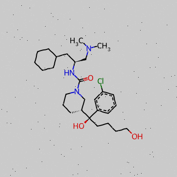 CN(C)C[C@H](CC1CCCCC1)NC(=O)N1CCC[C@@H]([C@@](O)(CCCCO)c2cccc(Cl)c2)C1